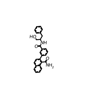 NC(=O)c1c(-c2cccc(C(=O)NC(CO)Cc3ccccc3)c2)ccc2ccccc12